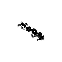 Cc1cc(-c2ccc(OCC(C)(C)C(=O)O)cc2)ncc1-c1ncc(C2(C(F)(F)F)CC2)[nH]1